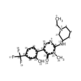 CCN1CCCC(Nc2nnc(-c3ccc(C(F)(F)F)cc3O)c(=O)n2C)C1